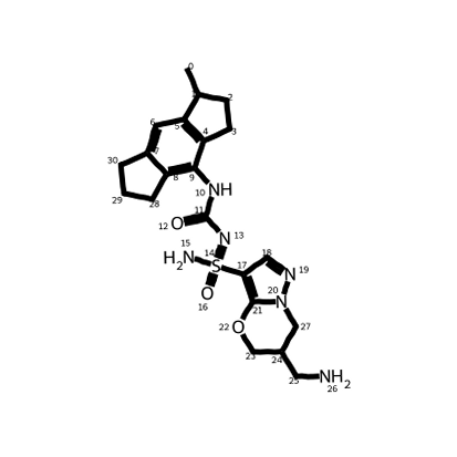 CC1CCc2c1cc1c(c2NC(=O)N=S(N)(=O)c2cnn3c2OCC(CN)C3)CCC1